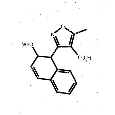 COC1C=Cc2ccccc2C1c1noc(C)c1C(=O)O